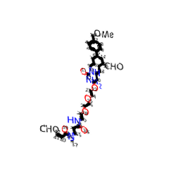 COCc1ccc(C(CCCNC(N)=O)CC(C=O)CCCCCOCCOCCOCCNC(=O)CCN(C)C(=O)/C=C\C=O)cc1